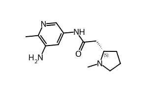 Cc1ncc(NC(=O)C[C@@H]2CCCN2C)cc1N